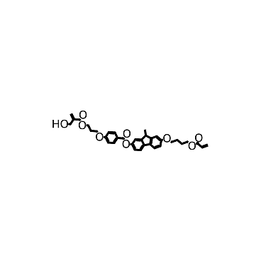 C=CC(=O)OCCCCOc1ccc2c(c1)C(C)c1cc(OC(=O)c3ccc(OCCCOC(=O)C(=C)CO)cc3)ccc1-2